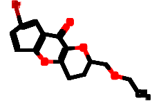 CCOCC1CCc2oc3ccc(Br)cc3c(=O)c2O1